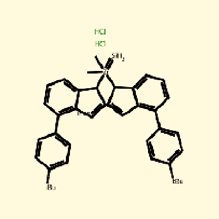 CCCC(C)C1=Cc2c(-c3ccc(C(C)(C)C)cc3)cccc2[CH]1[Zr]([CH3])([CH3])(=[SiH2])[CH]1C(C)=Cc2c(-c3ccc(C(C)CC)cc3)cccc21.Cl.Cl